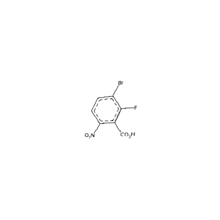 O=C(O)c1c([N+](=O)[O-])ccc(Br)c1F